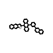 c1cc(-c2ccc3ccccc3c2)cc(-c2c3ccccc3c(-c3cc4cc5ccccc5cc4o3)c3ccccc23)c1